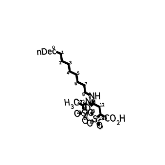 CCCCCCCCCCCCCCCCCCNC(=O)CC(C(=O)O)S(=O)(=O)OS(=O)(=O)[CH](C)[Na]